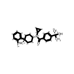 C[C@](O)(c1ccc(C(=O)N(C2CC2)[C@H]2CC[C@@](C#N)(c3ccccc3F)CC2)cc1)C(F)(F)F